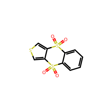 O=S1(=O)c2ccccc2S(=O)(=O)c2cscc21